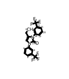 CCc1cn(-c2cccc(C(F)(F)F)c2)c(=O)n1-c1cccc(C(F)(F)F)c1